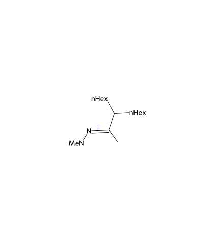 CCCCCCC(CCCCCC)/C(C)=N/NC